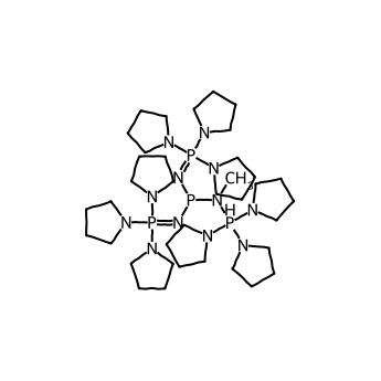 CN(P(N=P(N1CCCC1)(N1CCCC1)N1CCCC1)N=P(N1CCCC1)(N1CCCC1)N1CCCC1)[PH](N1CCCC1)(N1CCCC1)N1CCCC1